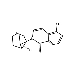 Cc1cccc2c(=O)n([C@@H]3CN4CCC3CC4)ccc12